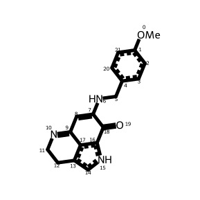 COc1ccc(CNC2=CC3=NCCc4c[nH]c(c43)C2=O)cc1